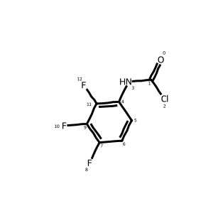 O=C(Cl)Nc1ccc(F)c(F)c1F